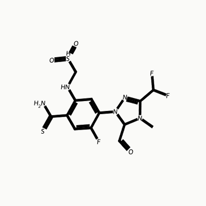 CN1C(C(F)F)=NN(c2cc(NC[SH](=O)=O)c(C(N)=S)cc2F)C1C=O